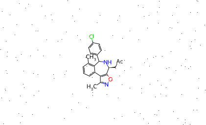 CC(=O)C[C@@H]1NC(c2ccc(Cl)cc2)c2c(C)cccc2-c2c(C)noc21